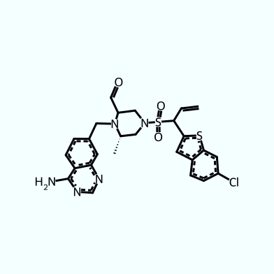 C=CC(c1cc2ccc(Cl)cc2s1)S(=O)(=O)N1CC(C=O)N(Cc2ccc3c(N)ncnc3c2)[C@@H](C)C1